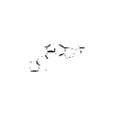 COc1ccncc1NC(=O)c1c(N)nn2cc3c(nc12)CCN(C(C)(C)C)C3